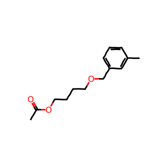 CC(=O)OCCCCOCc1cccc(C)c1